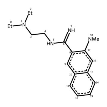 CCN(CC)CCNC(=N)c1cc2ccccc2cc1NC